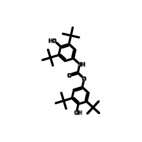 CC(C)(C)c1cc(NC(=O)Oc2cc(C(C)(C)C)c(O)c(C(C)(C)C)c2)cc(C(C)(C)C)c1O